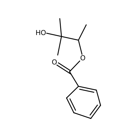 CC(OC(=O)c1ccccc1)C(C)(C)O